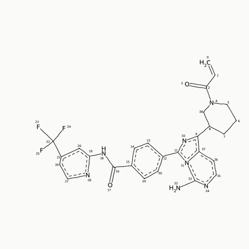 C=CC(=O)N1CCCC(c2nc(-c3ccc(C(=O)Nc4cc(C(F)(F)F)ccn4)cc3)n3c(N)nccc23)C1